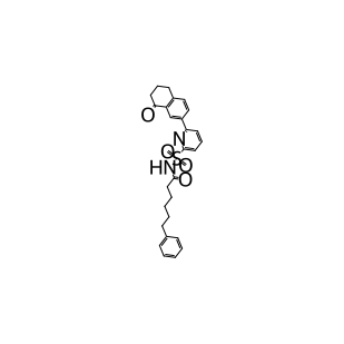 O=C(CCCCCc1ccccc1)NS(=O)(=O)c1cccc(-c2ccc3c(c2)C(=O)CCC3)n1